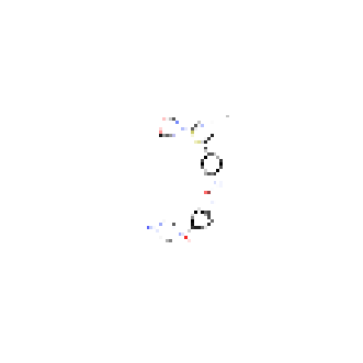 CON1C=C(c2ccc(NC(=O)Nc3ccc(C(=O)N4CCN(C)CC4)cc3)cc2)SC(N2CCOCC2)=C1